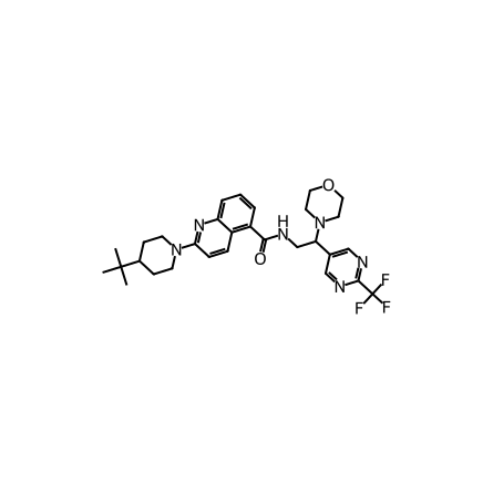 CC(C)(C)C1CCN(c2ccc3c(C(=O)NCC(c4cnc(C(F)(F)F)nc4)N4CCOCC4)cccc3n2)CC1